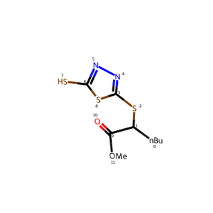 CCCCC(Sc1nnc(S)s1)C(=O)OC